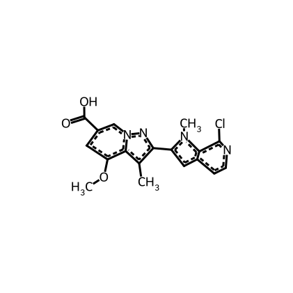 COc1cc(C(=O)O)cn2nc(-c3cc4ccnc(Cl)c4n3C)c(C)c12